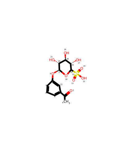 CC(=O)c1cccc(O[C@@H]2OC(S(=O)(=O)O)[C@@H](O)[C@H](O)[C@H]2O)c1